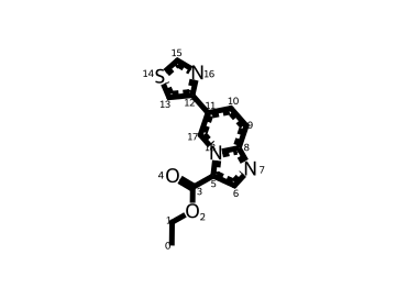 CCOC(=O)c1cnc2ccc(-c3cscn3)cn12